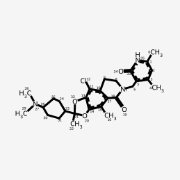 Cc1cc(C)c(CN2CCc3c(Cl)c4c(c(C)c3C2=O)OC(C)(C2CCC(N(C)C)CC2)O4)c(=O)[nH]1